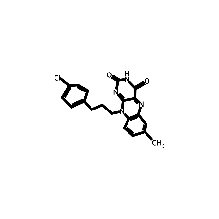 Cc1ccc2c(c1)nc1c(=O)[nH]c(=O)nc-1n2CCCc1ccc(Cl)cc1